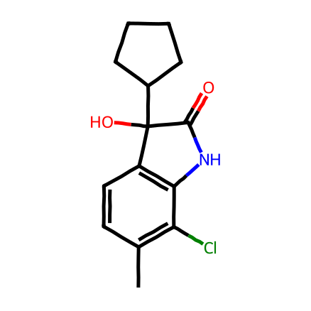 Cc1ccc2c(c1Cl)NC(=O)C2(O)C1CCCC1